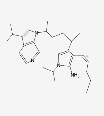 CCC/C=C\c1c(C(C)CCC(C)n2cc(C(C)C)c3ccncc32)cn(C(C)C)c1N